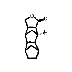 O=C1OCC2C3C[C@@H](C12)C1C2CCC(C2)C31